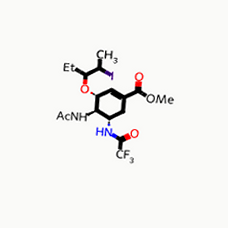 CCC(O[C@@H]1C=C(C(=O)OC)C[C@H](NC(=O)C(F)(F)F)[C@H]1NC(C)=O)C(C)I